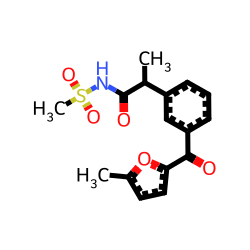 Cc1ccc(C(=O)c2cccc(C(C)C(=O)NS(C)(=O)=O)c2)o1